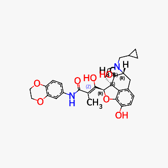 C/C(C(=O)Nc1ccc2c(c1)OCCO2)=C(/O)[C@@H]1Oc2c(O)ccc3c2[C@@]12CCN(CC1CC1)[C@H](C3)[C@@]2(C)O